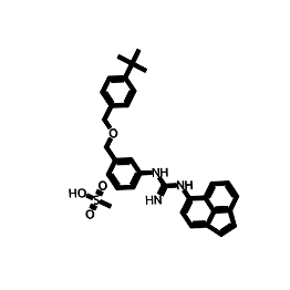 CC(C)(C)c1ccc(COCc2cccc(NC(=N)Nc3ccc4c5c(cccc35)C=C4)c2)cc1.CS(=O)(=O)O